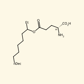 CCCCCCCCCCCCCCCC(CC)OC(=O)CC[C@@H](N)C(=O)O